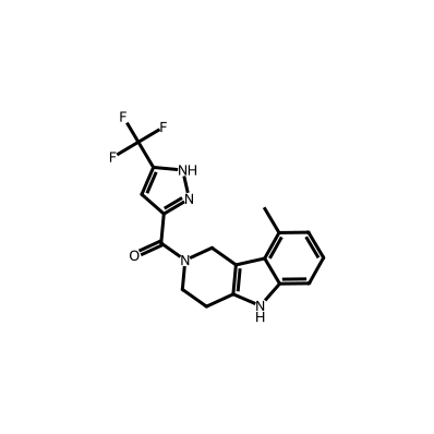 Cc1cccc2[nH]c3c(c12)CN(C(=O)c1cc(C(F)(F)F)[nH]n1)CC3